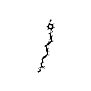 CCOC(=O)CCCC#CCC#CCC#CCC#CCOc1ccc(SC)cc1